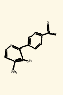 CC(=O)c1ccc(-c2nccc(N)c2N)cc1